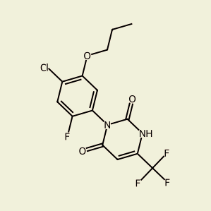 CCCOc1cc(-n2c(=O)cc(C(F)(F)F)[nH]c2=O)c(F)cc1Cl